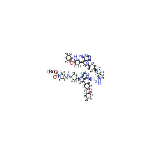 CC(C)(C)OC(=O)N1CCC2(CCN([C@H]3CC[C@H](n4cc(-c5ccc(Oc6ccccc6)cc5)c5c(N)ncnc54)CC3)C2)C1.Nc1ncnc2c1c(-c1ccc(Oc3ccccc3)cc1)cn2[C@H]1CC[C@H](N2CCC3(CCNC3)C2)CC1